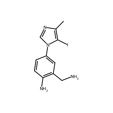 Cc1ncn(-c2ccc(N)c(CN)c2)c1I